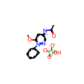 COc1c/c(=N/C(C)=O)cnn1-c1ccccc1.[O-][Cl+3]([O-])([O-])O